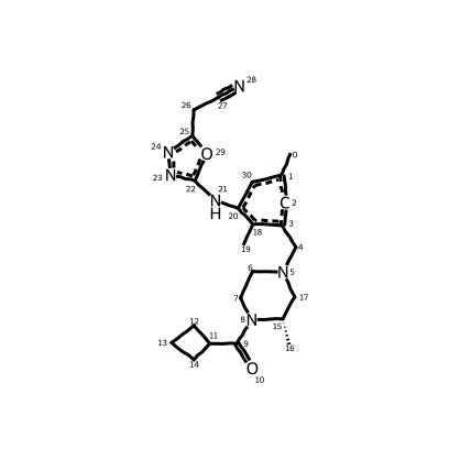 Cc1cc(CN2CCN(C(=O)C3CCC3)[C@@H](C)C2)c(C)c(Nc2nnc(CC#N)o2)c1